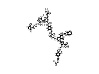 Cc1c(Nc2nc3ccccc3s2)nnc2c1CC(OCCN(C)C(=O)OCc1ccc(NC(=O)[C@H](CCCNC(N)=O)NC(=O)[C@@H](NC(=O)CCOCCN3C(=O)C=CC3=O)C(C)C)cc1)CN2c1nc(C(=O)O)c(CCCOc2ccc(C#CCN(C)C)cc2F)s1